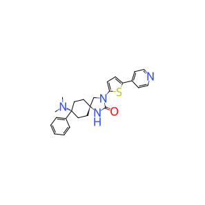 CN(C)[C@]1(c2ccccc2)CC[C@@]2(CC1)CN(c1ccc(-c3ccncc3)s1)C(=O)N2